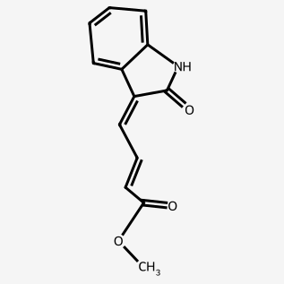 COC(=O)C=CC=C1C(=O)Nc2ccccc21